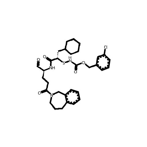 O=C[C@H](CCC(=O)N1CCCc2ccccc2C1)NC(=O)[C@H](CC1CCCCC1)SNC(=O)OCc1cccc(Cl)c1